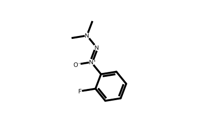 CN(C)N=[N+]([O-])c1ccccc1F